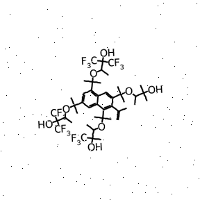 C=C(C)c1c(C(C)(C)OC(C)C(C)(C)O)cc2c(C(C)(C)OC(C)C(O)(C(F)(F)F)C(F)(F)F)cc(C(C)(C)OC(C)C(O)(C(F)(F)F)C(F)(F)F)cc2c1C(C)(C)OC(C)C(C)(O)C(F)(F)F